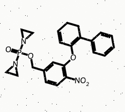 O=[N+]([O-])c1ccc(COP(=O)(N2CC2)N2CC2)cc1OC1=C(c2ccccc2)CCC=C1